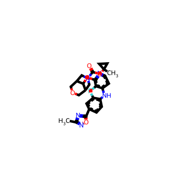 Cc1noc(-c2ccc(Nc3ccnc(OC4C5COCC4CN(C(=O)OC4(C)CC4)C5)c3F)c(F)c2)n1